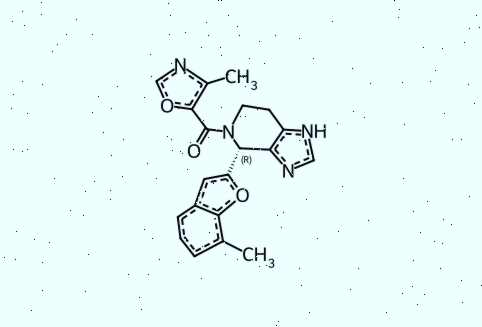 Cc1ncoc1C(=O)N1CCc2[nH]cnc2[C@@H]1c1cc2cccc(C)c2o1